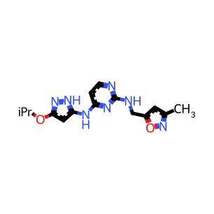 Cc1cc(CNc2nccc(Nc3cc(OC(C)C)n[nH]3)n2)on1